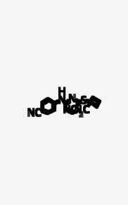 N#Cc1ccc(Nc2ccnc(SC3(C(=O)O)CCC3)n2)cc1